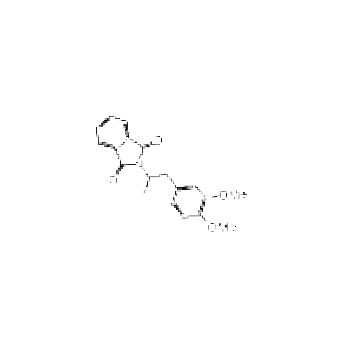 COc1ccc(CC(C)N2C(=O)c3ccccc3C2=O)cc1OC